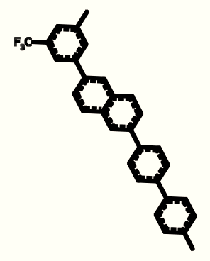 Cc1ccc(-c2ccc(-c3ccc4cc(-c5cc(C)cc(C(F)(F)F)c5)ccc4c3)cc2)cc1